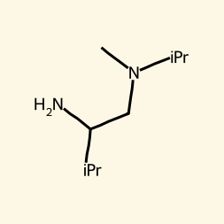 CC(C)C(N)CN(C)C(C)C